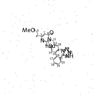 CCCCc1nc(CCOC)cc(=O)n1Cc1ccc(-c2ccccc2-c2nnn[nH]2)cc1